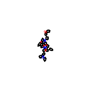 c1ccc(-c2ccccc2-c2ccccc2N(c2ccc(-c3ccc4c(c3)c3ccccc3n4-c3ccccc3)cc2)c2ccc3c(c2)C2(c4ccccc4-3)c3ccccc3N(c3cccc(-c4ccc5oc6ccccc6c5c4)c3)c3ccccc32)cc1